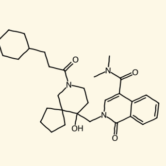 CN(C)C(=O)c1cn(CC2(O)CCN(C(=O)CCC3CCCCC3)CC23CCCC3)c(=O)c2ccccc12